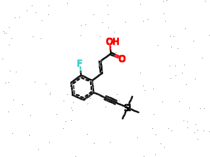 C[Si](C)(C)C#Cc1cccc(F)c1/C=C/C(=O)O